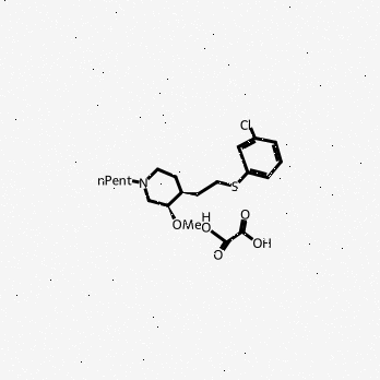 CCCCCN1CC[C@@H](CCSc2cccc(Cl)c2)[C@@H](OC)C1.O=C(O)C(=O)O